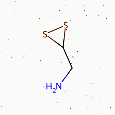 NCC1SS1